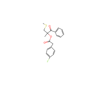 CSCC(C)(OC(=O)Cc1ccc(F)cc1)C(=O)c1ccccc1